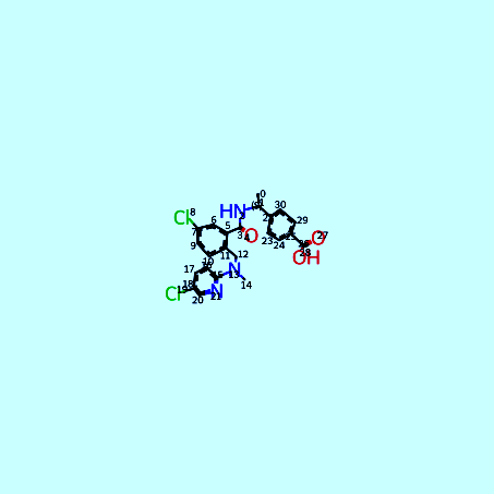 C[C@H](NC(=O)c1cc(Cl)ccc1CN(C)c1ccc(Cl)cn1)c1ccc(C(=O)O)cc1